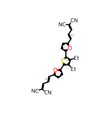 CCc1c(-c2ccc(/C=C/C=C(C#N)C#N)o2)sc(-c2ccc(/C=C/C=C(C#N)C#N)o2)c1CC